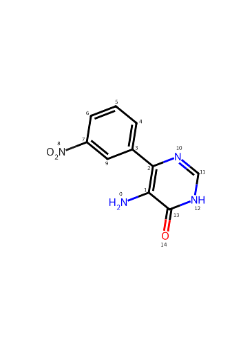 Nc1c(-c2cccc([N+](=O)[O-])c2)nc[nH]c1=O